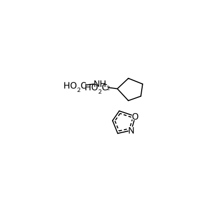 NC(=O)O.O=C(O)C1CCCC1.c1cnoc1